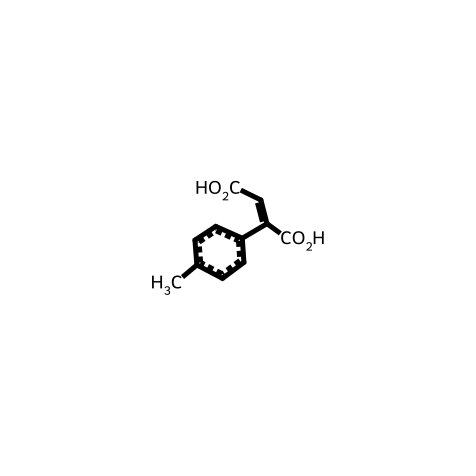 Cc1ccc(/C(=C\C(=O)O)C(=O)O)cc1